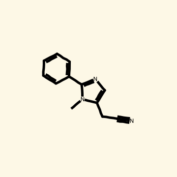 Cn1c(CC#N)cnc1-c1ccccc1